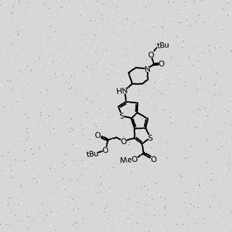 COC(=O)c1sc2cc3cc(NC4CCN(C(=O)OC(C)(C)C)CC4)csc-3c2c1OCC(=O)OC(C)(C)C